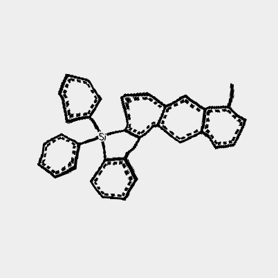 Cc1cccc2cc3c4c(ccc3cc12)[Si](c1ccccc1)(c1ccccc1)c1ccccc1-4